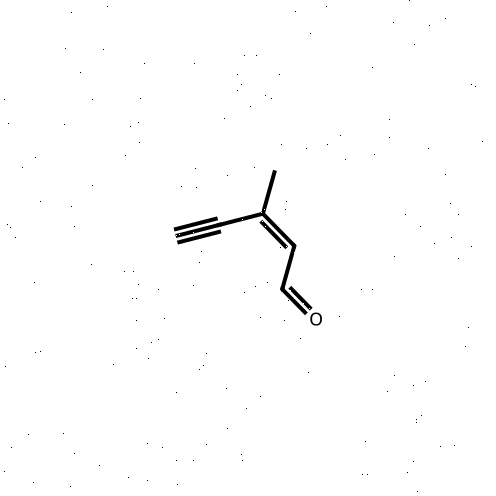 C#CC(C)=CC=O